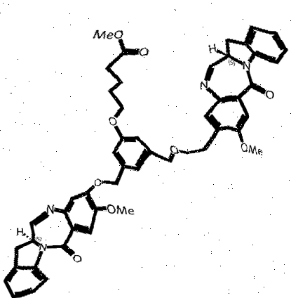 COC(=O)CCCCOc1cc(COCc2cc3c(cc2OC)C(=O)N2c4ccccc4C[C@H]2C=N3)cc(COc2cc3c(cc2OC)C(=O)N2c4ccccc4C[C@H]2C=N3)c1